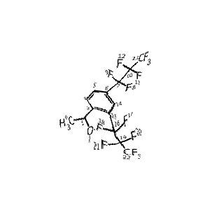 CC([O])c1ccc(C(F)(F)C(F)(F)C(F)(F)F)cc1C(F)(F)C(F)(F)C(F)(F)F